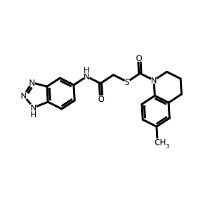 Cc1ccc2c(c1)CCCN2C(=O)SCC(=O)Nc1ccc2[nH]nnc2c1